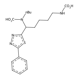 CCCCN(C(=O)O)C(CCCCNC(=O)O)c1nnc(-c2ccccc2)s1